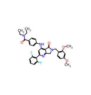 CCN(CC)C(=O)c1ccc(Nc2cc(-c3c(F)cccc3F)nc3c2C(=O)N(Cc2ccc(OC)cc2OC)C3)cc1